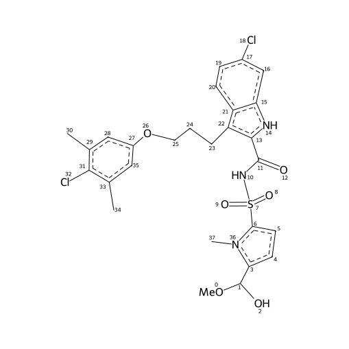 COC(O)c1ccc(S(=O)(=O)NC(=O)c2[nH]c3cc(Cl)ccc3c2CCCOc2cc(C)c(Cl)c(C)c2)n1C